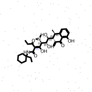 C=C1C(=O)c2c(O)cccc2[C@H](C)[C@H]1[C@H](O)[C@H](O)[C@@H](/C(O)=C(\C(=O)CC)C(=O)NC1(CC)CCCCC1)N(C)C